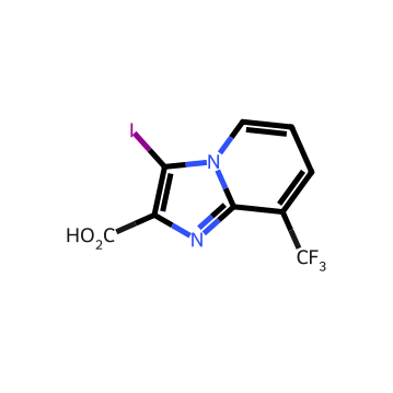 O=C(O)c1nc2c(C(F)(F)F)cccn2c1I